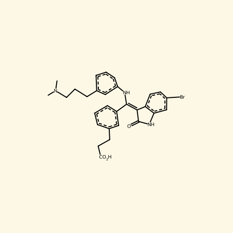 CN(C)CCCc1cccc(NC(=C2C(=O)Nc3cc(Br)ccc32)c2cccc(CCC(=O)O)c2)c1